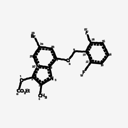 CCOC(=O)Oc1c(C)nc2c(OCc3c(F)cccc3F)cc(Br)cn12